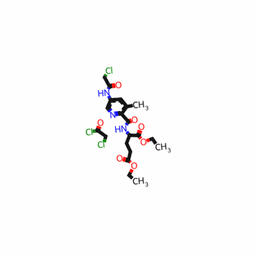 CCOC(=O)CCC(NC(=O)c1ncc(NC(=O)CCl)cc1C)C(=O)OCC.O=C(Cl)CCl